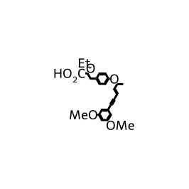 CCOC(Cc1ccc(OC(C)C=CC#Cc2cc(OC)cc(OC)c2)cc1)C(=O)O